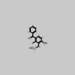 Cc1c(C(=O)c2ccccc2)ccc(O)c1CC(=O)O